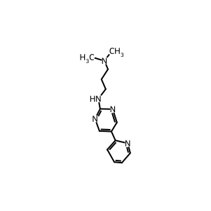 CN(C)CCCNc1ncc(-c2ccccn2)cn1